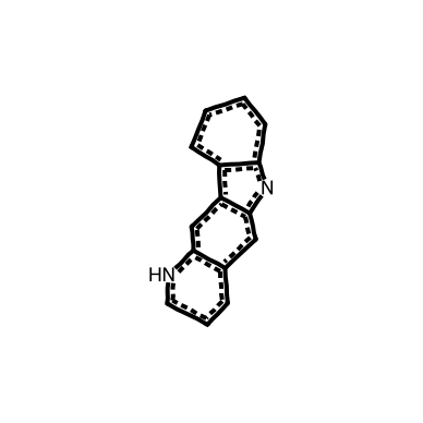 c1c[nH]c2cc3c(cc2c1)nc1ccccc13